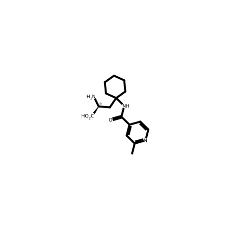 Cc1cc(C(=O)NC2(C[C@H](N)C(=O)O)CCCCC2)ccn1